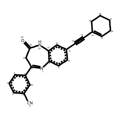 N#Cc1cccc(C2=Nc3ccc(C#CC4=CCCCC4)cc3NC(=O)C2)c1